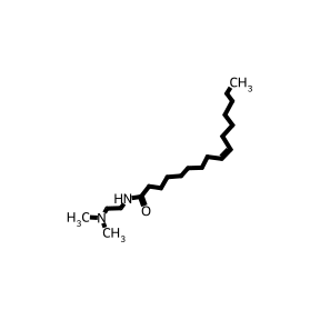 CCCCCC/C=C\CCCCCCCC(=O)NCCN(C)C